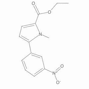 CCOC(=O)c1ccc(-c2cccc([N+](=O)[O-])c2)n1C